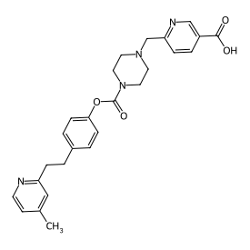 Cc1ccnc(CCc2ccc(OC(=O)N3CCN(Cc4ccc(C(=O)O)cn4)CC3)cc2)c1